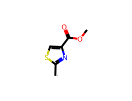 [CH2]c1nc(C(=O)OC)cs1